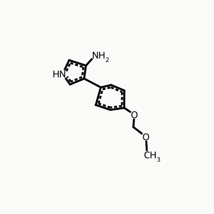 COCOc1ccc(-c2c[nH]cc2N)cc1